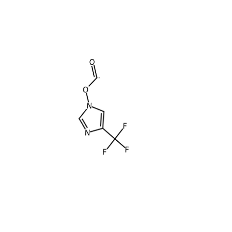 O=[C]On1cnc(C(F)(F)F)c1